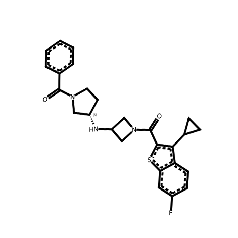 O=C(c1ccccc1)N1CC[C@H](NC2CN(C(=O)c3sc4cc(F)ccc4c3C3CC3)C2)C1